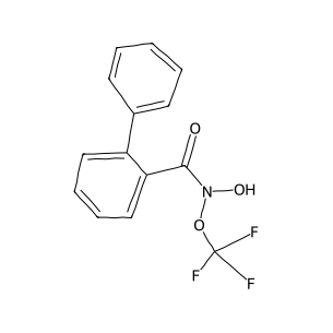 O=C(c1ccccc1-c1ccccc1)N(O)OC(F)(F)F